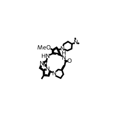 COc1cc(N2CCC(N(C)C)CC2)c2cc1Nc1ncc3c(C)cc(n3n1)N1CCC/C(=C/C(=O)N2)C1